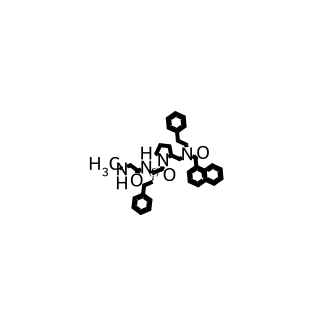 CNCC(=O)N[C@@H](CCc1ccccc1)C(=O)N1CCCC1CN(CCc1ccccc1)C(=O)c1cccc2ccccc12